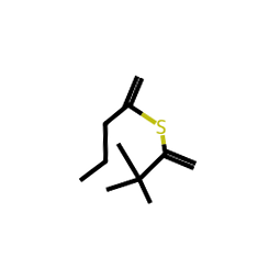 C=C(CCC)SC(=C)C(C)(C)C